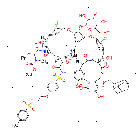 Cc1ccc(S(=O)(=O)OCCOc2ccc(S(=O)(=O)NC(=O)C[C@@H]3CC(=O)[C@H](NC(=O)[C@@H](CC(C)C)N(C)C(=O)OC(C)(C)C)[C@H](O)c4ccc(c(Cl)c4)Oc4cc5cc(c4O[C@@H]4O[C@H](CO)[C@@H](O)[C@H](O)[C@H]4O)Oc4ccc(cc4Cl)[C@@H](O)[C@@H]4NC(=O)[C@H](CC(=O)[C@@H]5NC3=O)c3ccc(O)c(c3)-c3c(O)cc(O)cc3[C@@H](C(=O)CC3C5CC6CC(C5)CC3C6)NC4=O)cc2)cc1